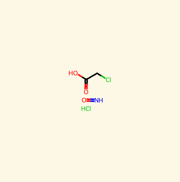 Cl.N=O.O=C(O)CCl